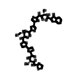 CCC(C)[C@H](NC(=O)c1cc(-c2csc(NC(=O)[C@H](CC(C)C)NC(=O)c3cc(-c4csc(NC(=O)[C@@H](NC(=O)c5cc6ccccc6[nH]5)C(C)C)n4)cs3)n2)cs1)C(=O)Nc1nccs1